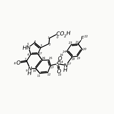 O=C(O)CCc1c[nH]c2c(=O)[nH]c3ccc(S(=O)(=O)Nc4ccc(F)cc4)cc3c12